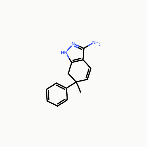 CC1(c2ccccc2)C=Cc2c(N)n[nH]c2C1